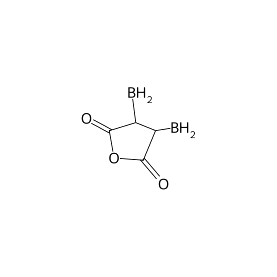 BC1C(=O)OC(=O)C1B